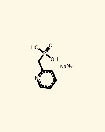 O=P(O)(O)Cc1ccccn1.[Na].[Na]